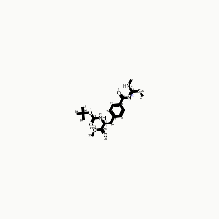 CN/C(=N\C(=O)c1ccc(C[C@H](NC(=O)OC(C)(C)C)C(=O)OC)cc1)SC